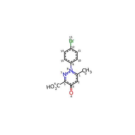 Cc1cc(=O)c(C(=O)O)nn1-c1ccc(Br)cc1